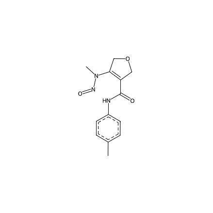 Cc1ccc(NC(=O)C2=C(N(C)N=O)COC2)cc1